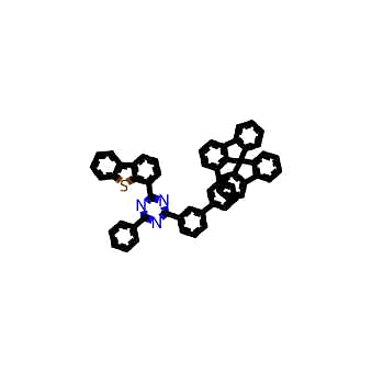 c1ccc(-c2nc(-c3cccc(-c4cccc(-c5cccc6c5C5(c7ccccc7-c7ccccc75)c5ccccc5-6)c4)c3)nc(-c3cccc4c3sc3ccccc34)n2)cc1